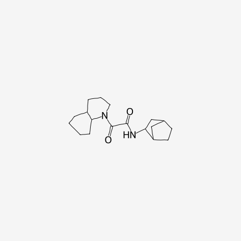 O=C(NC1CC2CCC1C2)C(=O)N1CCCC2CCCCC21